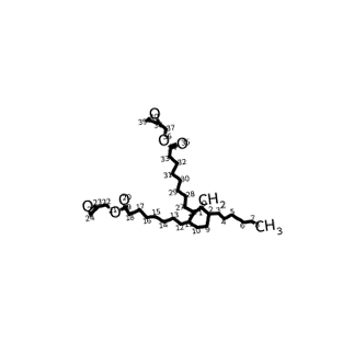 C=C1C(CCCCCC)CCC(CCCCCCCC(=O)OCC2CO2)C1CCCCCCCC(=O)OCC1CO1